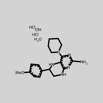 COc1ccc(C2CNc3nc(N)nc(N4CCCCC4)c3N2)cc1.Cl.Cl.Cl.O